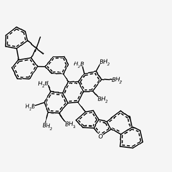 Bc1c(B)c(B)c2c(-c3ccc4oc5c6ccccc6ccc5c4c3)c3c(B)c(B)c(B)c(B)c3c(-c3cccc(-c4cccc5c4C(C)(C)c4ccccc4-5)c3)c2c1B